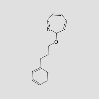 C1=CC=NC(OCCCc2ccccc2)C=C1